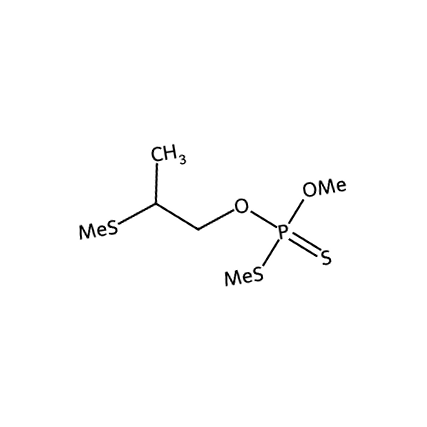 COP(=S)(OCC(C)SC)SC